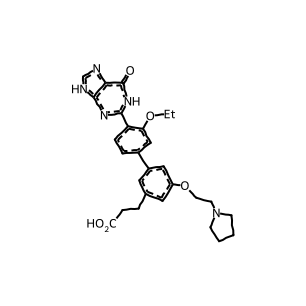 CCOc1cc(-c2cc(CCC(=O)O)cc(OCCN3CCCC3)c2)ccc1-c1nc2[nH]cnc2c(=O)[nH]1